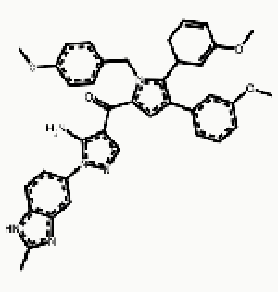 COC1=CC(c2c(-c3cccc(OC)c3)cc(C(=O)c3cnn(-c4ccc5[nH]c(C)nc5c4)c3N)n2Cc2ccc(OC)cc2)CC=C1